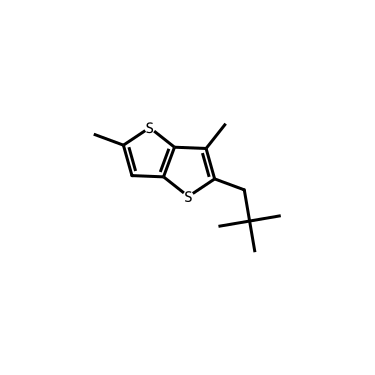 Cc1cc2sc(CC(C)(C)C)c(C)c2s1